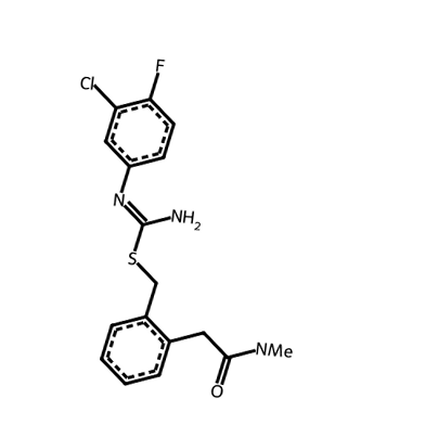 CNC(=O)Cc1ccccc1CS/C(N)=N/c1ccc(F)c(Cl)c1